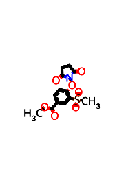 COC(=O)c1ccc(ON2C(=O)CCC2=O)c(S(C)(=O)=O)c1